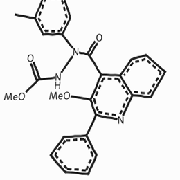 COC(=O)NN(C(=O)c1c(OC)c(-c2ccccc2)nc2ccccc12)c1cccc(C)c1